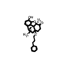 CN1CC[C@]23c4c5ccc(O)c4O[C@]2(C)C(=O)CCC3(OCCCc2ccccc2)C1C5